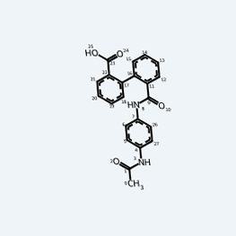 CC(=O)Nc1ccc(NC(=O)c2ccccc2-c2ccccc2C(=O)O)cc1